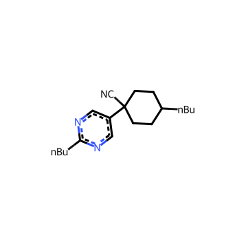 CCCCc1ncc(C2(C#N)CCC(CCCC)CC2)cn1